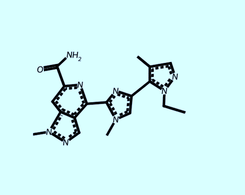 CCn1ncc(C)c1-c1cn(C)c(-c2nc(C(N)=O)cc3c2cnn3C)n1